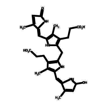 CC1=CC(=O)N/C1=C\c1[nH]c(Cc2[nH]c(/C=C3\NC(O)C=C3C)c(C)c2CCC(=O)O)c(CCC(=O)O)c1C